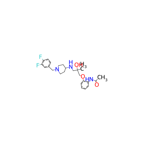 CC(=O)Nc1ccccc1OCC(C)(O)CNC1CCN(Cc2ccc(F)c(F)c2)CC1